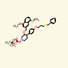 COc1cc(COC2CN(OC(=O)OC(C)(C)C)CCC2c2ccc(OCCCSCc3ccccc3)cc2)cc2c(OC)cccc12